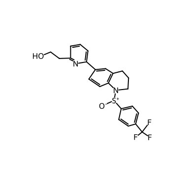 [O-][S+](c1ccc(C(F)(F)F)cc1)N1CCCc2cc(-c3cccc(CCO)n3)ccc21